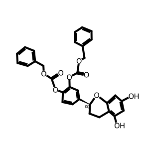 O=C(OCc1ccccc1)Oc1ccc([C@@H]2CCc3c(O)cc(O)cc3O2)cc1OC(=O)OCc1ccccc1